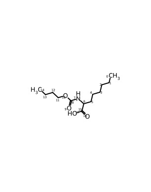 CCCCCCC(NC(=O)OCCCC)C(=O)O